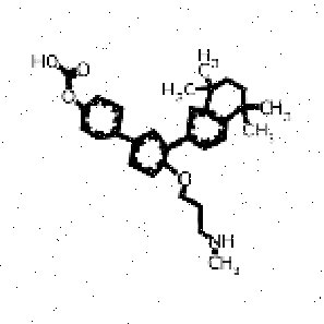 CNCCCOc1ccc(-c2ccc(OC(=O)O)cc2)cc1-c1ccc2c(c1)C(C)(C)CCC2(C)C